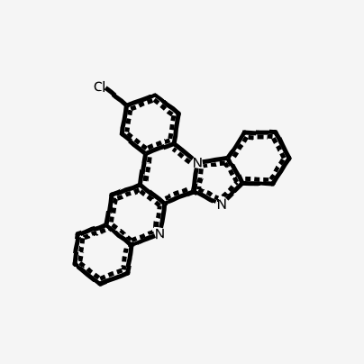 Clc1ccc2c(c1)c1cc3ccccc3nc1c1nc3ccccc3n21